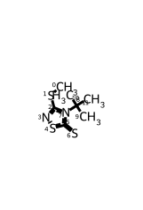 CSc1nsc(=S)n1C(C)(C)C